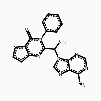 CC(c1nc2ccsc2c(=O)n1-c1ccccc1)n1cnc2c(N)ncnc21